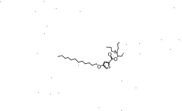 CCCCCCCCCCCCOc1csc(C(=O)OC(CC)N(CCC)CCC)c1